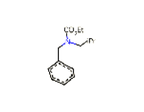 CCOC(=O)N(Cc1ccccc1)CC(C)C